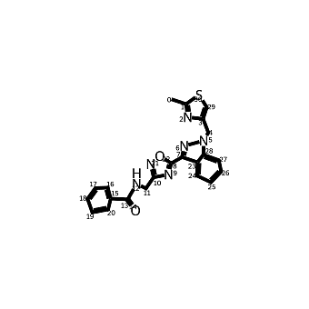 Cc1nc(Cn2nc(-c3nc(CNC(=O)c4ccccc4)no3)c3ccccc32)cs1